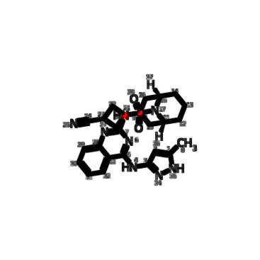 Cc1cc(Nc2nc(N[C@@H]3C[C@H]4CCC[C@@H](C3)N4S(=O)(=O)N3CC(C#N)C3)nc3ccccc23)n[nH]1